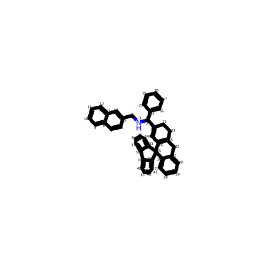 C1=C(C(NCc2ccc3ccccc3c2)c2ccccc2)CCC2=C1C1(c3ccccc3C2)c2ccccc2-c2ccccc21